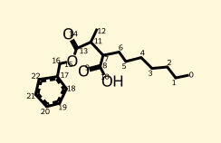 CCCCCCCC(C(=O)O)C(C)C(=O)OCc1ccccc1